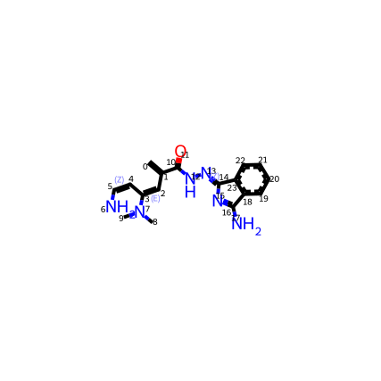 C=C(/C=C(\C=C/N)N(C)C)C(=O)N/N=C1\N=C(N)c2ccccc21